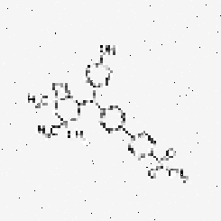 CC1(C)CC(=C(c2ccc(O)cc2)c2ccc(-c3ccc(S(C)(=O)=O)cc3)cc2)CC(C)(C)C1